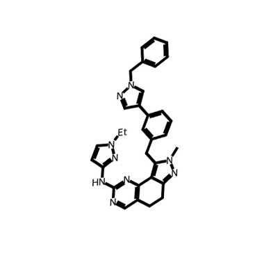 CCn1ccc(Nc2ncc3c(n2)-c2c(nn(C)c2Cc2cccc(-c4cnn(Cc5ccccc5)c4)c2)CC3)n1